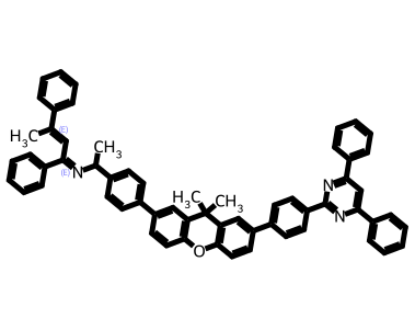 C/C(=C\C(=N/C(C)c1ccc(-c2ccc3c(c2)C(C)(C)c2cc(-c4ccc(-c5nc(-c6ccccc6)cc(-c6ccccc6)n5)cc4)ccc2O3)cc1)c1ccccc1)c1ccccc1